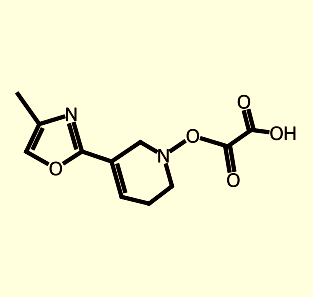 Cc1coc(C2=CCCN(OC(=O)C(=O)O)C2)n1